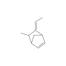 CC=C1C2C=CC(C2)C1C